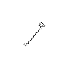 CCCCCCCCCCCOC1COCCN1